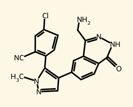 Cn1ncc(-c2ccc3c(=O)[nH]nc(CN)c3c2)c1-c1ccc(Cl)cc1C#N